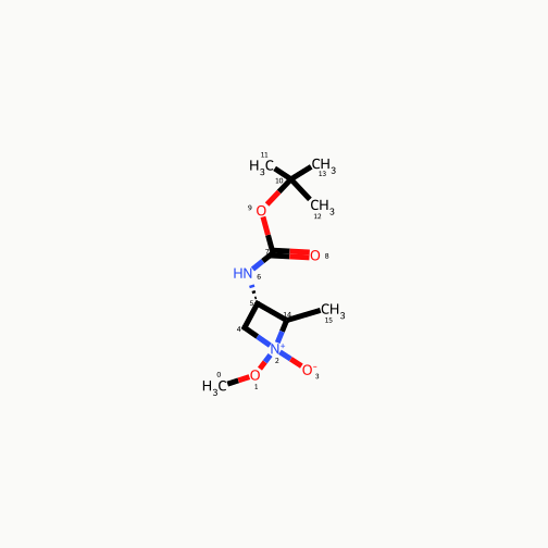 CO[N+]1([O-])C[C@H](NC(=O)OC(C)(C)C)C1C